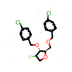 F[C@@H]1CO[C@H](COCc2ccc(Cl)cc2)[C@H]1OCc1ccc(Cl)cc1